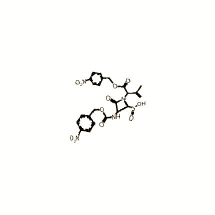 C=C(C)C(C(=O)OCc1ccc([N+](=O)[O-])cc1)N1C(=O)C(NC(=O)OCc2ccc([N+](=O)[O-])cc2)C1S(=O)O